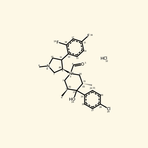 C[C@H]1C[N+](C=O)([C@H]2CN(C)CC2c2ccc(F)cc2F)C[C@H](C)C1(O)c1ccc(Cl)cc1.Cl